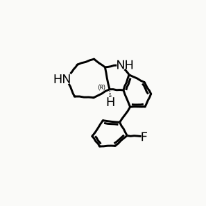 Fc1ccccc1-c1cccc2c1[C@H]1CCNCCC1N2